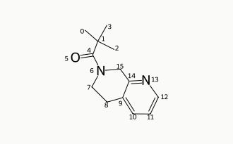 CC(C)(C)C(=O)N1CCc2cccnc2C1